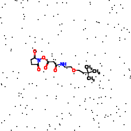 CC(C)(C)CCOCCNC(=O)CC(=O)ON1C(=O)CCC1=O